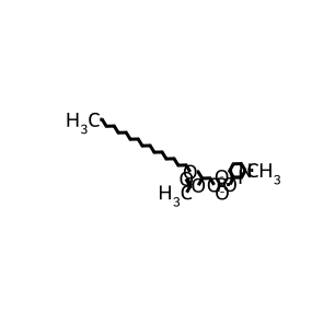 CCCCCCCCCCCCCCCCOCC(COP(=O)(O)OC1CCCN(C)C1)OC(C)=O